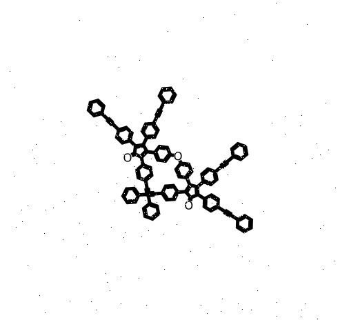 O=C1C(c2ccc(C#Cc3ccccc3)cc2)=C(c2ccc(C#Cc3ccccc3)cc2)C(c2ccc(Oc3ccc(C4=C(c5ccc(C#Cc6ccccc6)cc5)C(=O)C(c5ccc(C#Cc6ccccc6)cc5)=C4c4ccc(C#Cc5ccccc5)cc4)cc3)cc2)=C1c1ccc(C#Cc2ccccc2)cc1